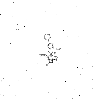 C[C@]1(Cn2cc(-c3ccccc3)nn2)[C@H](C(=O)[O-])N2C(=O)C[C@H]2S1(=O)=O.[Na+]